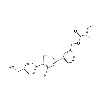 C/C=C(\C)C(=O)OCc1cccc(-c2ccc(-c3ccc(CO)cc3)c(F)c2)c1